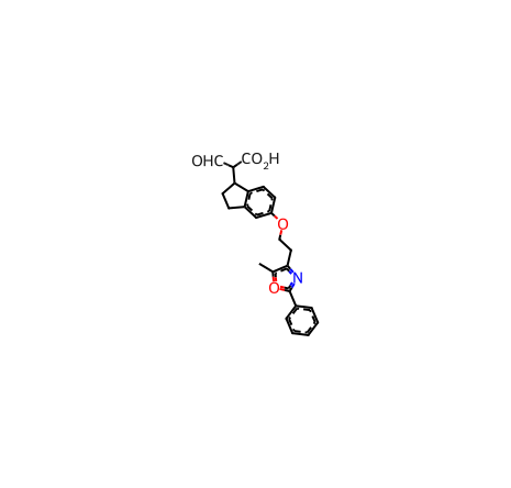 Cc1oc(-c2ccccc2)nc1CCOc1ccc2c(c1)CCC2C(C=O)C(=O)O